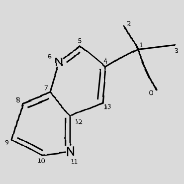 CC(C)(C)c1cnc2cccnc2c1